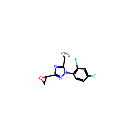 CCc1nc(C2CO2)nn1-c1ccc(F)cc1F